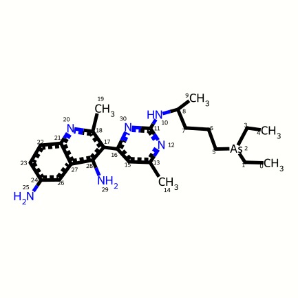 CC[As](CC)CCCC(C)Nc1nc(C)cc(-c2c(C)nc3ccc(N)cc3c2N)n1